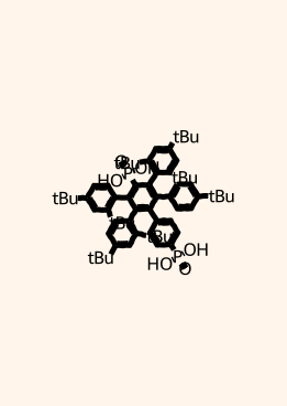 CC(C)(C)c1ccc(-c2c(-c3ccc(P(=O)(O)O)cc3)c(-c3ccc(C(C)(C)C)cc3C(C)(C)C)c(-c3ccc(C(C)(C)C)cc3C(C)(C)C)c(P(=O)(O)O)c2-c2ccc(C(C)(C)C)cc2C(C)(C)C)c(C(C)(C)C)c1